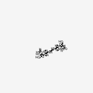 O=[PH](S)O[C@@H]1C(CO)O[C@@H](n2cnc3c(NC/C=C/CNc4ncnc5c4ncn5C4O[C@H](CO)[C@@H](O)[C@H]4O[PH](=O)S)ncnc32)[C@@H]1O